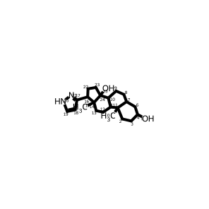 CC12CCC(O)CC1CCC1C2CCC2(C)C(c3cc[nH]n3)CCC12O